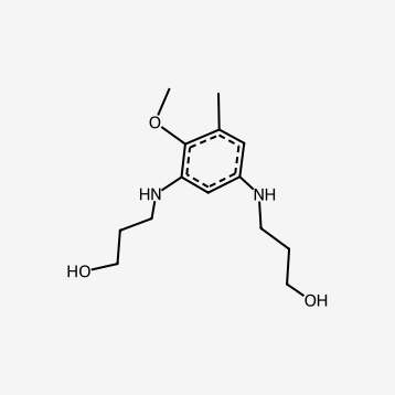 COc1c(C)cc(NCCCO)cc1NCCCO